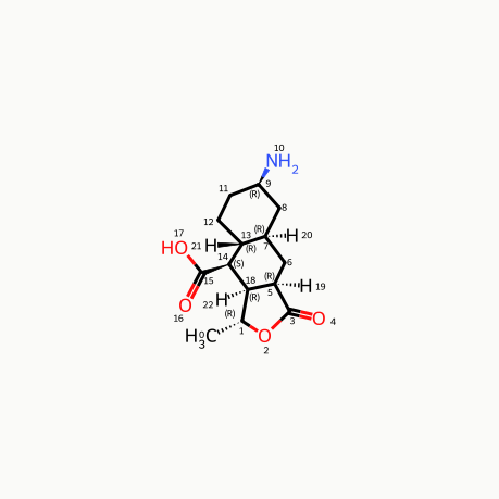 C[C@H]1OC(=O)[C@@H]2C[C@@H]3C[C@H](N)CC[C@H]3[C@H](C(=O)O)[C@H]12